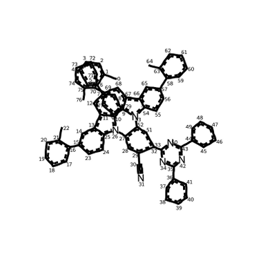 Cc1ccccc1-c1ccc2c(c1)c1cc(-c3ccccc3C)ccc1n2-c1cc(C#N)c(-c2nc(-c3ccccc3)nc(-c3ccccc3)n2)cc1-n1c2ccc(-c3ccccc3C)cc2c2cc(-c3ccccc3C)ccc21